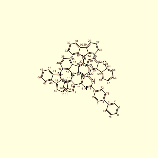 c1ccc(-c2ccc(-c3nc(-c4ccccc4-n4c5cccc(-n6c7ccccc7c7ccccc76)c5c5cccc(-n6c7ccccc7c7ccccc76)c54)nc(-c4cccc5oc6ccccc6c45)n3)cc2)cc1